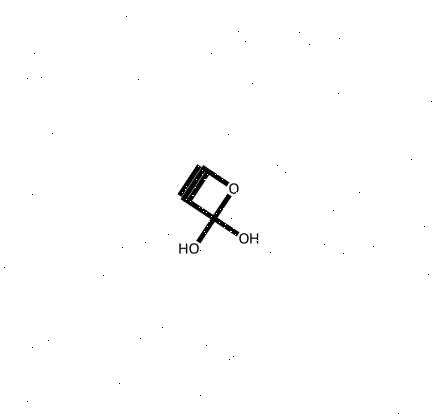 OC1(O)C#CO1